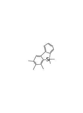 Cc1cc2c(c(C)c1C)[Si](C)(C)c1ccccc1-2